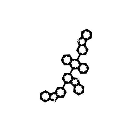 c1ccc2c(c1)oc1cc(-c3c4ccccc4c(-c4ccc(-c5ccc6oc7ccccc7c6c5)c5c4oc4ccccc45)c4ccccc34)ccc12